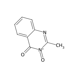 CC1=Nc2ccccc2C(=O)[N+]1=O